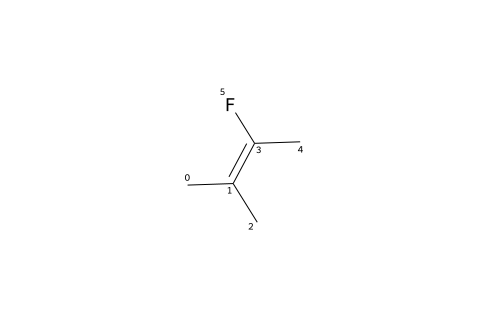 CC(C)=C(C)F